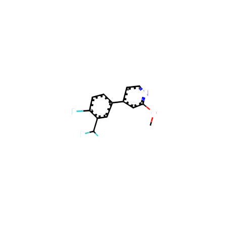 COc1cc(-c2ccc(F)c(C(F)F)c2)ccn1